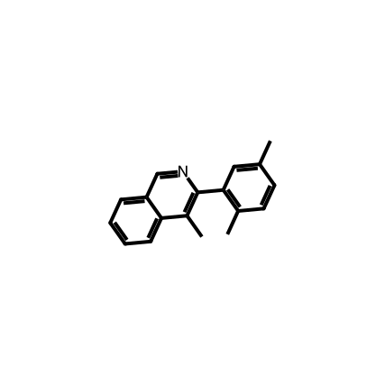 Cc1ccc(C)c(-c2ncc3ccccc3c2C)c1